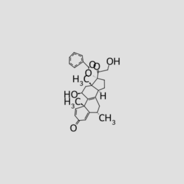 C[C@H]1CC2=C([C@@H](O)C[C@@]3(C)[C@H]2CC[C@]3(OC(=O)c2ccccc2)C(=O)CO)[C@@]2(C)C=CC(=O)C=C12